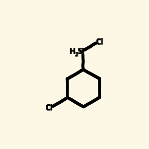 Cl[SiH2]C1CCCC(Cl)C1